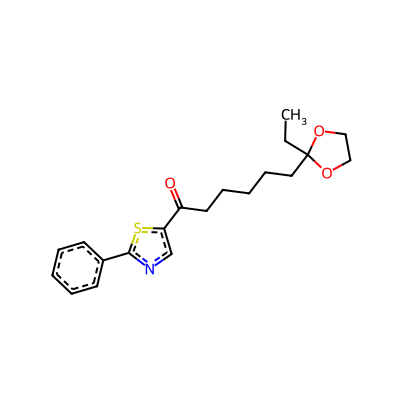 CCC1(CCCCCC(=O)c2cnc(-c3ccccc3)s2)OCCO1